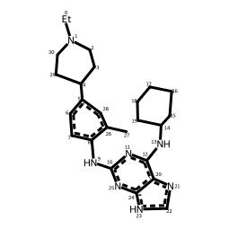 CCN1CCC(c2ccc(Nc3nc(NC4CCCCC4)c4nc[nH]c4n3)c(C)c2)CC1